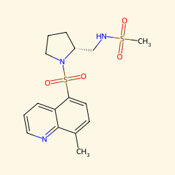 Cc1ccc(S(=O)(=O)N2CCC[C@@H]2CNS(C)(=O)=O)c2cccnc12